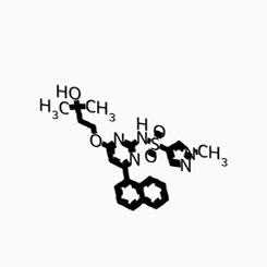 Cn1cc(S(=O)(=O)Nc2nc(OCCC(C)(C)O)cc(-c3cccc4ccccc34)n2)cn1